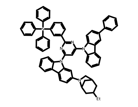 CCC1CC2CC(C1)N(c1ccc3c4ccccc4n(-c4cc(-n5c6ccccc6c6cc(-c7ccccc7)ccc65)nc(-c5cccc(S(c6ccccc6)(c6ccccc6)c6ccccc6)c5)n4)c3c1)C2